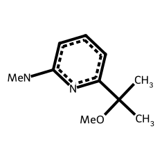 CNc1cccc(C(C)(C)OC)n1